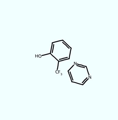 Oc1ccccc1C(F)(F)F.c1cncnc1